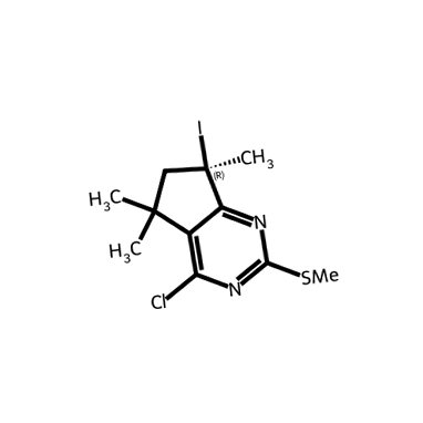 CSc1nc(Cl)c2c(n1)[C@](C)(I)CC2(C)C